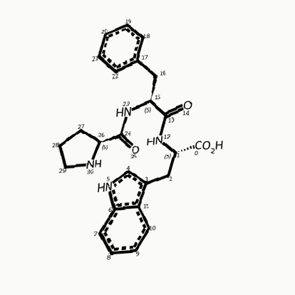 O=C(O)[C@H](Cc1c[nH]c2ccccc12)NC(=O)[C@H](Cc1ccccc1)NC(=O)[C@@H]1CCCN1